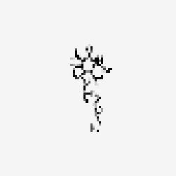 Cc1oc2ccc(OCc3ccc(OCCO)cn3)c(C3CCNCC3(F)F)c2c1C(N)=O